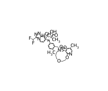 Cc1cnc2c(c1)S(=O)(=O)N(Cc1cc([C@H](c3ccn4c(C(F)F)nnc4c3C)C(C)(C)C(=O)O)ccc1C)CCCOCCO2